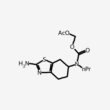 CCCN(C(=O)OCOC(C)=O)C1CCc2nc(N)sc2C1